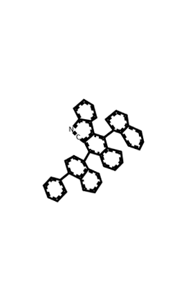 c1ccc(-c2ccc(-c3c4ccccc4c(-c4cccc5ccccc45)c4c3cnc3ccccc34)c3ccccc23)cc1